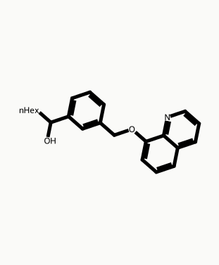 CCCCCCC(O)c1cccc(COc2cccc3cccnc23)c1